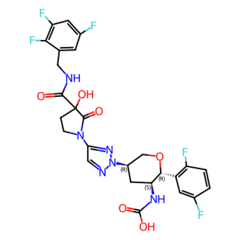 O=C(O)N[C@H]1C[C@@H](n2ncc(N3CCC(O)(C(=O)NCc4cc(F)cc(F)c4F)C3=O)n2)CO[C@@H]1c1cc(F)ccc1F